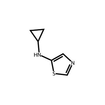 c1ncc(NC2CC2)s1